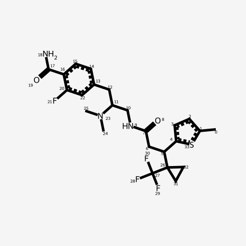 Cc1ccc(C(CC(=O)NCC(Cc2ccc(C(N)=O)c(F)c2)N(C)C)C2(C(F)(F)F)CC2)s1